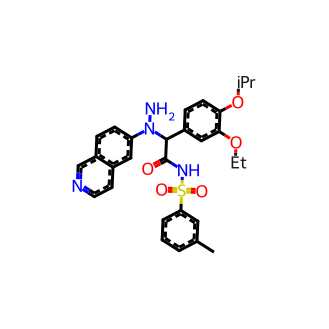 CCOc1cc(C(C(=O)NS(=O)(=O)c2cccc(C)c2)N(N)c2ccc3cnccc3c2)ccc1OC(C)C